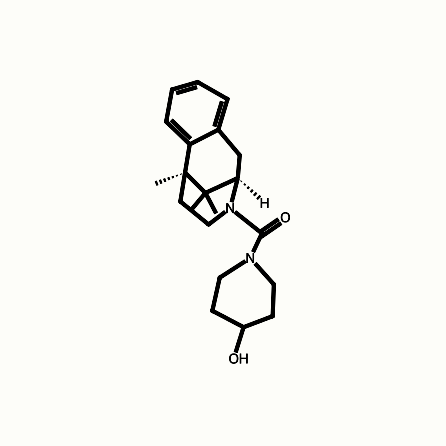 CC1(C)[C@H]2Cc3ccccc3[C@]1(C)CCN2C(=O)N1CCC(O)CC1